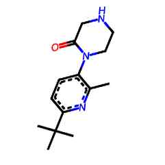 Cc1nc(C(C)(C)C)ccc1N1CCNCC1=O